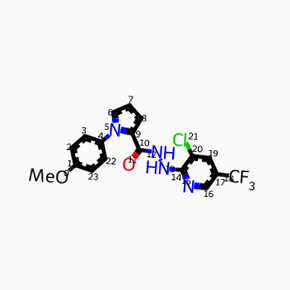 COc1ccc(-n2cccc2C(=O)NNc2ncc(C(F)(F)F)cc2Cl)cc1